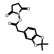 CC1(C)Oc2ccc(CC(=O)ON3C(=O)CCC3=O)cc2O1